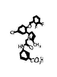 Cc1ccc(-c2cc(Cl)ccc2OCc2cccc(F)c2F)n1CC(=O)Nc1cccc(C(=O)O)c1